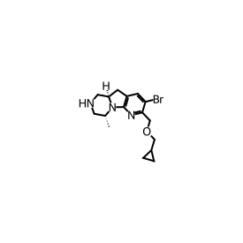 C[C@@H]1CNC[C@H]2Cc3cc(Br)c(COCC4CC4)nc3N21